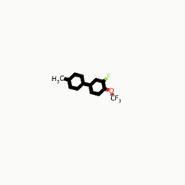 CC1CCC(C2CCC(OC(F)(F)F)C(F)C2)CC1